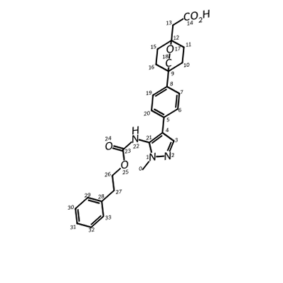 Cn1ncc(-c2ccc(C34CCC(CC(=O)O)(CC3)OC4)cc2)c1NC(=O)OCCc1ccccc1